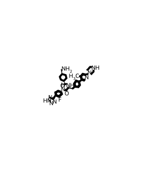 Cc1cc(N2CCNCC2)ncc1-c1ccc(C[C@H](NC(=O)[C@H]2CC[C@H](CN)CC2)C(=O)Nc2ccc(-c3nn[nH]n3)c(F)c2)cc1